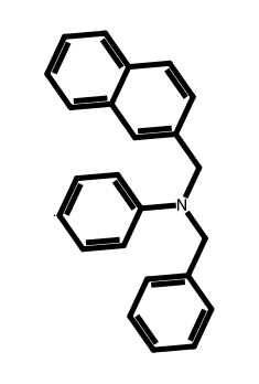 [c]1ccc(N(Cc2ccccc2)Cc2ccc3ccccc3c2)cc1